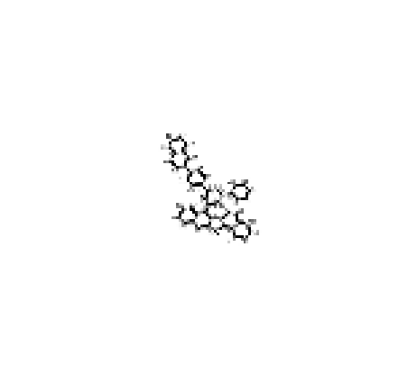 c1ccc(-c2nc(-c3ccc(-c4ccc5ccccc5c4)cc3)nc(-c3c4ccccc4cc4sc5c6ccccc6ccc5c34)n2)cc1